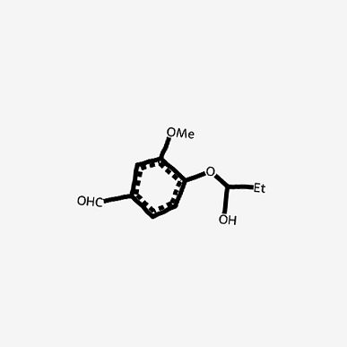 CCC(O)Oc1ccc(C=O)cc1OC